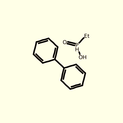 CC[PH](=O)O.c1ccc(-c2ccccc2)cc1